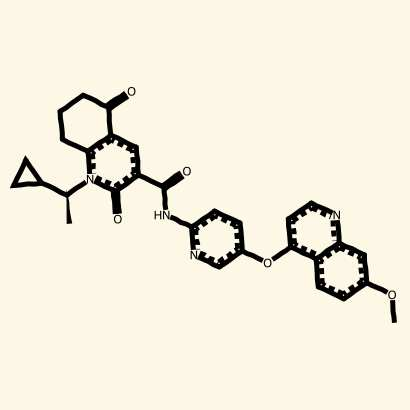 COc1ccc2c(Oc3ccc(NC(=O)c4cc5c(n([C@@H](C)C6CC6)c4=O)CCCC5=O)nc3)ccnc2c1